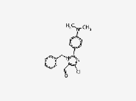 CN(C)c1ccc(-c2nc(Cl)c(C=O)n2Cc2ccccc2)cc1